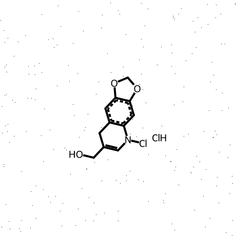 Cl.OCC1=CN(Cl)c2cc3c(cc2C1)OCO3